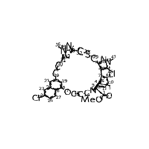 COC(=O)c1c(C)c2c3c(Cl)ccc2n1CCCOc1cc(cc2cc(Cl)ccc12)CCc1cc(nn1C)CSCc1nn(C)c(C)c1-3